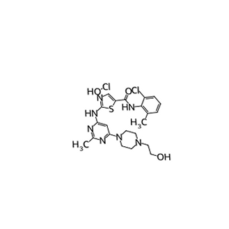 Cc1nc(Nc2ncc(C(=O)Nc3c(C)cccc3Cl)s2)cc(N2CCN(CCO)CC2)n1.OCl